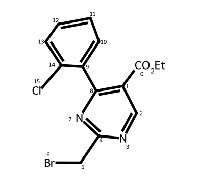 CCOC(=O)c1cnc(CBr)nc1-c1ccccc1Cl